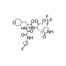 O=C(NC(CC1CCOCC1)C(=O)NC(C[C@@H]1CCNC1=O)C(=O)COC(F)(F)F)C(=O)NC12CC(F)(C1)C2